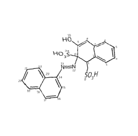 O=S(=O)(O)C1c2ccccc2C=C(O)C1(/N=N/c1cccc2ccccc12)S(=O)(=O)O